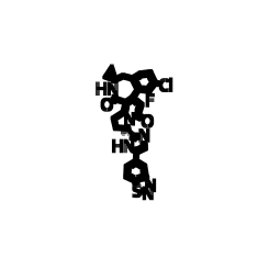 O=C1NC2(CC2)Cc2ccc(Cl)c(F)c2-c2cc(=O)n3c(c21)CC[C@@H]3c1ncc(-c2ccc3snnc3c2)[nH]1